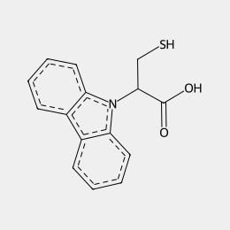 O=C(O)C(CS)n1c2ccccc2c2ccccc21